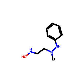 CCN(CCNO)Nc1ccccc1